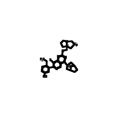 Oc1ccc(CC(F)(F)F)c(-c2ncc3c(N4CC5CCC(C4)N5)nc(OC[C@@]45CCCN4C[C@H](F)C5)nc3c2F)c1